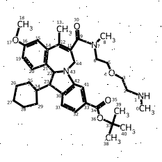 CNCCOCCN(C)C(=O)C1=C(C)c2cc(OC)ccc2C2C(C3CCCCC3)c3ccc(C(=O)OC(C)(C)C)cc3N2C1